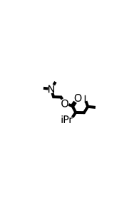 CC(I)CC(C(=O)OCCN(C)C)C(C)C